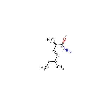 C=C(C=CC(C)CC)C(N)=O